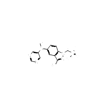 CC(=O)c1nn(CS(=O)(=O)Cl)c2ccc(N(C)c3cncnc3)cc12